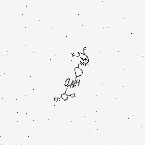 O=C(NC1CCC(CNc2ncc(F)cc2F)CC1)c1cc(Cl)ccc1Cl